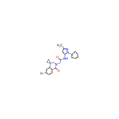 Cc1cc(NC(=O)CN2CC3(CC3)c3cc(Br)ccc3C2=O)n(-c2ccccc2)n1